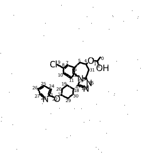 CC(O)OC1Cc2cc(Cl)ccc2-n2c(nnc2[C@H]2CC[C@H](Oc3ccccn3)CC2)C1